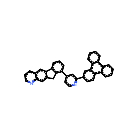 c1cc(-c2ccnc(-c3ccc4c5ccccc5c5ccccc5c4c3)c2)c2c(c1)-c1cc3cccnc3cc1C2